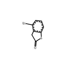 CCc1cccc2c1CC(=O)S2